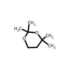 CC1(C)CCOC(C)(C)O1